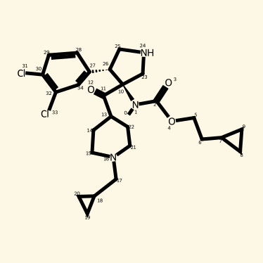 CN(C(=O)OCCC1CC1)[C@]1(C(=O)C2CCN(CC3CC3)CC2)CNC[C@H]1c1ccc(Cl)c(Cl)c1